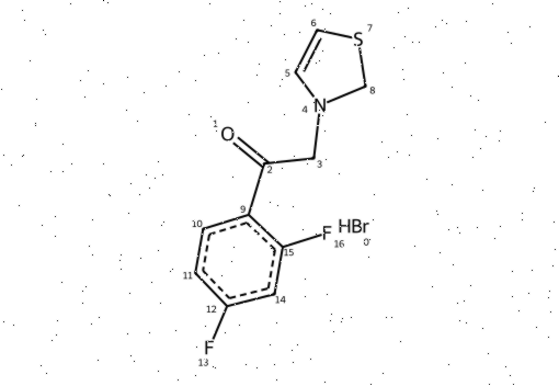 Br.O=C(CN1C=CSC1)c1ccc(F)cc1F